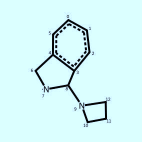 c1ccc2c(c1)C[N]C2N1CCC1